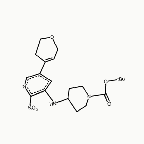 CC(C)(C)OC(=O)N1CCC(Nc2cc(C3=CCOCC3)cnc2[N+](=O)[O-])CC1